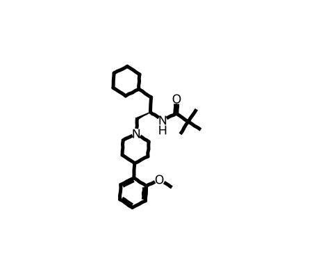 COc1ccccc1C1CCN(C[C@@H](CC2CCCCC2)NC(=O)C(C)(C)C)CC1